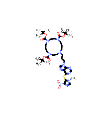 Cn1cnc([N+](=O)[O-])c1Sc1ncnc2c1ncn2CCCN1CCCN(C(=O)OC(C)(C)C)CCN(C(=O)OC(C)(C)C)CCCN(C(=O)OC(C)(C)C)CC1